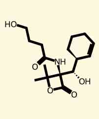 CC1(C)OC(=O)[C@@]1(NC(=O)CCCO)[C@@H](O)[C@@H]1C=CCCC1